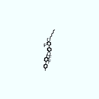 CCCCCCCOc1ccc(-c2ccc(OCc3ccc(-c4ccc(C)cc4)c(F)c3F)cc2)c(F)c1